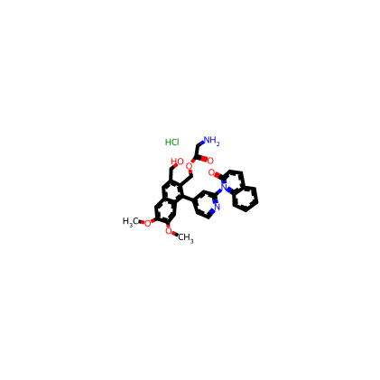 COc1cc2cc(CO)c(COC(=O)CN)c(-c3ccnc(-n4c(=O)ccc5ccccc54)c3)c2cc1OC.Cl